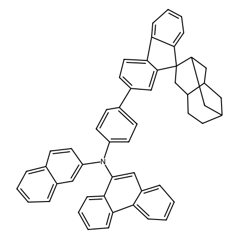 c1ccc2c(c1)-c1ccc(-c3ccc(N(c4ccc5ccccc5c4)c4cc5ccccc5c5ccccc45)cc3)cc1C21CC2CCC3CC2CC1C3